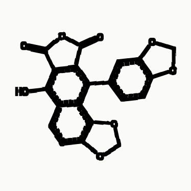 O=C1OC(=O)c2c1c(O)c1ccc3c(c1c2-c1ccc2c(c1)OCO2)OCO3